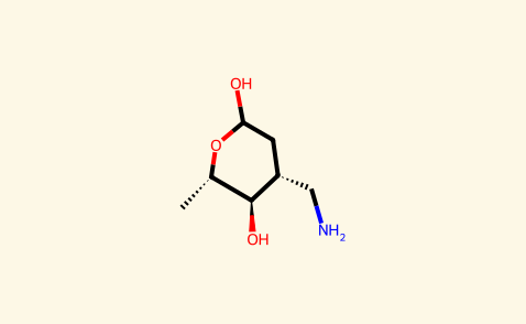 C[C@@H]1OC(O)C[C@H](CN)[C@H]1O